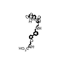 O=C(O)NCCCOc1cccc(-c2cccc(CNCC[C@H]3CN(c4ccc5c(n4)NC(=O)CO5)C(=O)O3)c2)c1